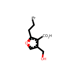 CC(C)CCc1occ(CO)c1C(=O)O